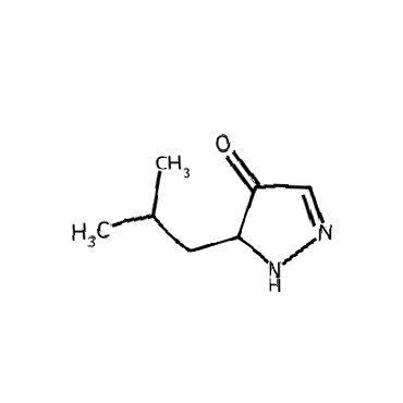 CC(C)CC1NN=CC1=O